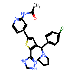 CC(=O)Nc1cc(-c2cc(C(c3ccc(Cl)cc3)N3CCCC3)c(C3=NNCN3)s2)ccn1